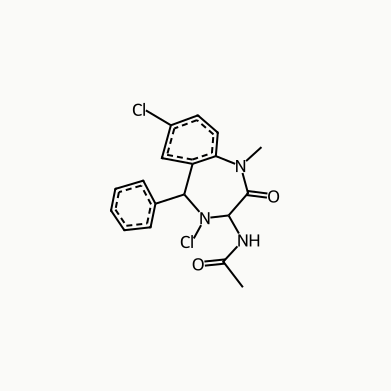 CC(=O)NC1C(=O)N(C)c2ccc(Cl)cc2C(c2ccccc2)N1Cl